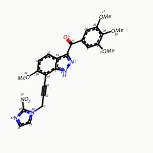 COc1cc(C(=O)c2n[nH]c3c(C#CCn4ccnc4[N+](=O)[O-])c(OC)ccc23)cc(OC)c1OC